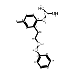 Cc1ccc(OP(O)O)c(CCOOc2ccccc2)c1